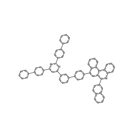 c1ccc(-c2ccc(-c3cc(-c4cccc(-c5ccc(-c6cc7c(-c8ccc9ccccc9c8)nc8ccccc8c7c7ccccc67)cc5)c4)nc(-c4ccc(-c5ccccc5)cc4)n3)cc2)cc1